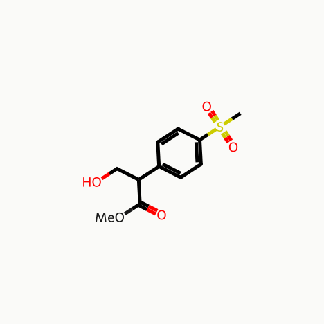 COC(=O)C(CO)c1ccc(S(C)(=O)=O)cc1